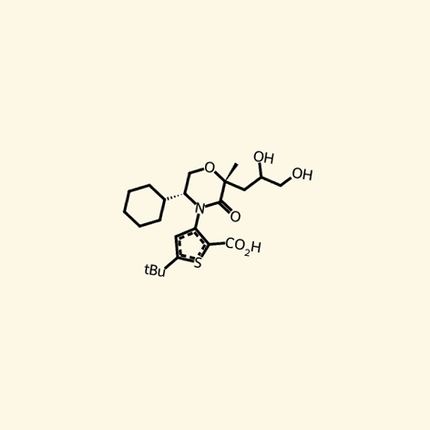 CC(C)(C)c1cc(N2C(=O)[C@@](C)(CC(O)CO)OC[C@H]2C2CCCCC2)c(C(=O)O)s1